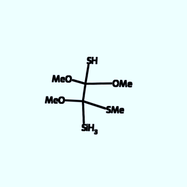 COC(S)(OC)C([SiH3])(OC)SC